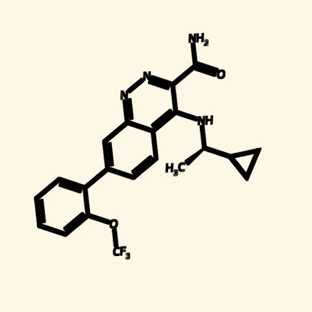 C[C@@H](Nc1c(C(N)=O)nnc2cc(-c3ccccc3OC(F)(F)F)ccc12)C1CC1